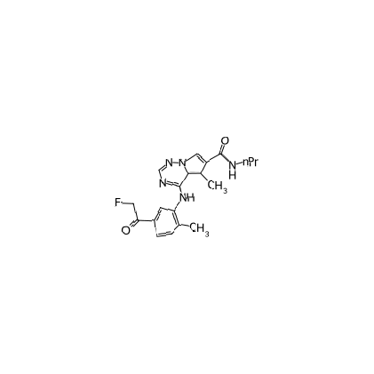 CCCNC(=O)c1cn2ncnc(Nc3cc(C(=O)CF)ccc3C)c2c1C